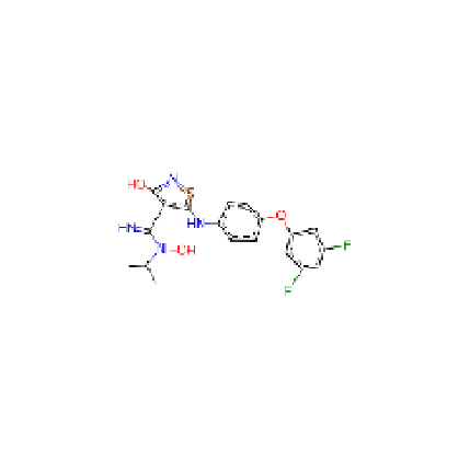 CC(C)N(O)C(=N)c1c(O)nsc1Nc1ccc(Oc2cc(F)cc(F)c2)cc1